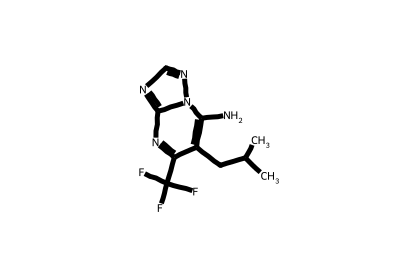 CC(C)Cc1c(C(F)(F)F)nc2ncnn2c1N